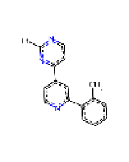 CCc1nccc(-c2ccnc(-c3ccccc3C)c2)n1